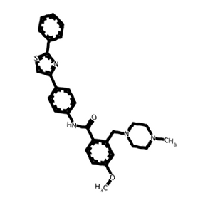 COc1ccc(C(=O)Nc2ccc(-c3csc(-c4ccccc4)n3)cc2)c(CN2CCN(C)CC2)c1